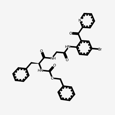 O=C(CNC(=O)[C@H](Cc1ccccc1)NC(=O)OCc1ccccc1)Nc1ccc(Br)cc1C(=O)c1ccccn1